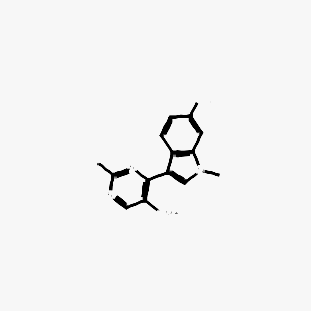 CSc1cnc(Cl)nc1-c1cn(C)c2cc(C(F)(F)F)ccc12